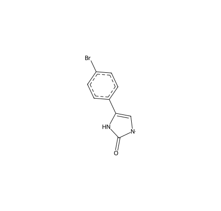 O=C1[N]C=C(c2ccc(Br)cc2)N1